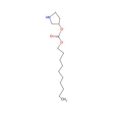 CCCCCCCCCCOC(=O)OC1C[CH]NC1